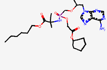 CCCCCCOC(=O)C(C)(C)NP(=O)(COC(C)Cn1cnc2c(N)ncnc21)OCC(=O)OC1CCCC1